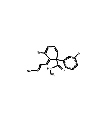 NNC(=O)C1(c2cccc(Br)c2)C=CC=C(Br)C1=CC=NO